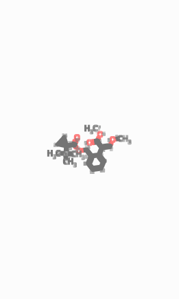 COC=C(C(=O)OC)c1ccccc1COC(=O)C1([Si](C)(C)C)CC1